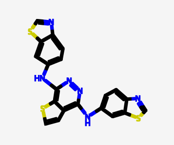 c1nc2ccc(Nc3nnc(Nc4ccc5ncsc5c4)c4sccc34)cc2s1